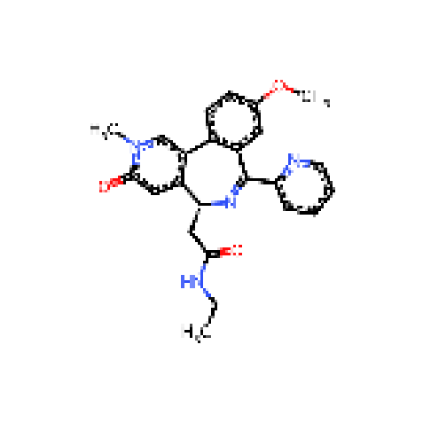 CCNC(=O)C[C@@H]1N=C(c2ccccn2)c2cc(OC)ccc2-c2cn(C)c(=O)cc21